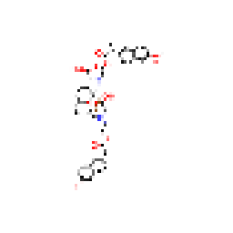 COc1ccc2cc([C@H](C)C(=O)OCCN(CC(=O)O)CC3(SSC4(CN(CCOC(=O)[C@@H](C)c5ccc6cc(OC)ccc6c5)CC(=O)O)CCCCC4)CCCCC3)ccc2c1